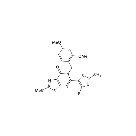 COc1ccc(Cn2c(-c3sc(C)cc3F)nc3sc(SC)nc3c2=O)c(OC)c1